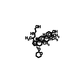 C=C(CNCCO)[C@@H]1CC[C@]2(COC3CCCCO3)CC[C@]3(C)[C@H](CC[C@@H]4[C@@]5(C)CCC(O)C(C)(C)[C@@H]5CC[C@]43C)[C@@H]12